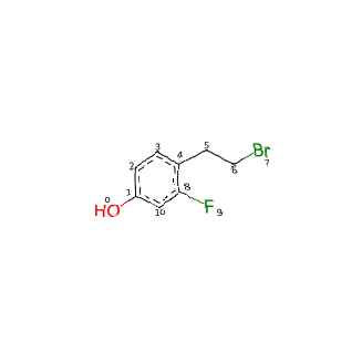 Oc1ccc(CCBr)c(F)c1